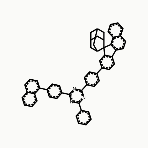 c1ccc(-c2nc(-c3ccc(-c4ccc5c(c4)C4(c6c-5ccc5ccccc65)C5CC6CC(C5)CC4C6)cc3)nc(-c3ccc(-c4cccc5ccccc45)cc3)n2)cc1